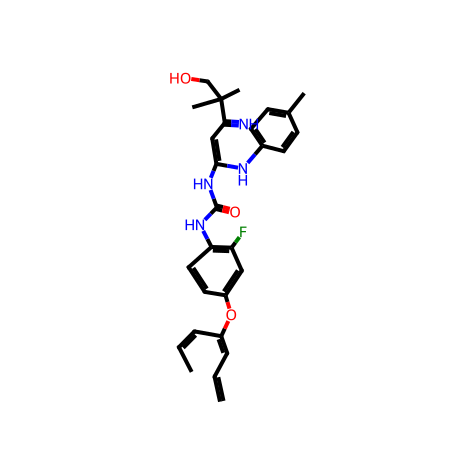 C=C/C=C(\C=C/C)Oc1ccc(NC(=O)N/C(=C/C(=N)C(C)(C)CO)Nc2ccc(C)cc2)c(F)c1